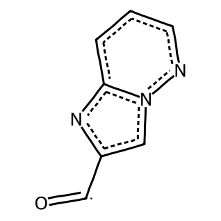 O=[C]c1cn2ncccc2n1